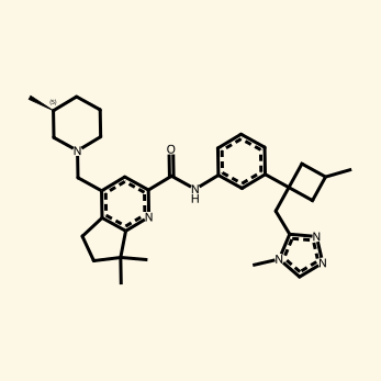 CC1CC(Cc2nncn2C)(c2cccc(NC(=O)c3cc(CN4CCC[C@H](C)C4)c4c(n3)C(C)(C)CC4)c2)C1